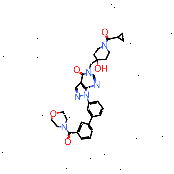 O=C(c1cccc(-c2cccc(-n3ncc4c(=O)n(CC5(O)CCN(C(=O)C6CC6)CC5)cnc43)c2)c1)N1CCOCC1